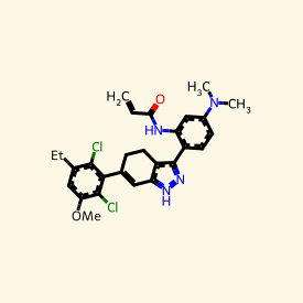 C=CC(=O)Nc1cc(N(C)C)ccc1-c1n[nH]c2c1CCC(c1c(Cl)c(CC)cc(OC)c1Cl)=C2